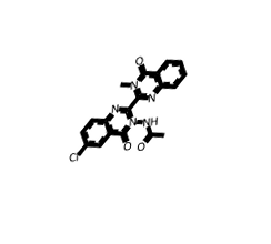 CC(=O)Nn1c(-c2nc3ccccc3c(=O)n2C)nc2ccc(Cl)cc2c1=O